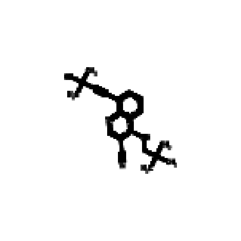 CC(C)(O)C#Cc1cccc2c(NCC(C)(C)C)c(C#N)cnc12